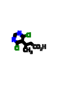 CC(CC(=O)O)c1c(Cl)ncnc1Cl